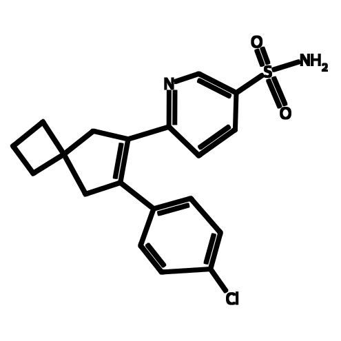 NS(=O)(=O)c1ccc(C2=C(c3ccc(Cl)cc3)CC3(CCC3)C2)nc1